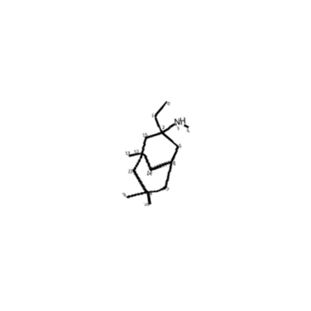 CCC1(NC)CC2CC(C)(C)CC(C)(C2)C1